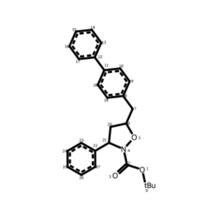 CC(C)(C)OC(=O)N1OC(Cc2ccc(-c3ccccc3)cc2)CC1c1ccccc1